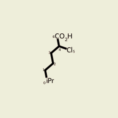 CC(C)CCCC(Cl)C(=O)O